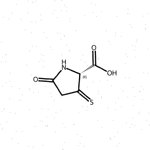 O=C1CC(=S)[C@@H](C(=O)O)N1